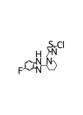 Fc1ccc2[nH]c(C3CCCCN3Cc3csc(Cl)n3)nc2c1